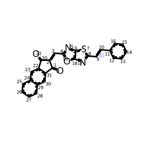 O=C1C(=Cc2nc3sc(/C=C/c4ccccc4)nc3o2)C(=O)c2cc3ccccc3cc21